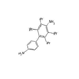 CC(C)c1c(N)c(C(C)C)c(C(C)C)c(-c2ccc(N)cc2)c1C(C)C